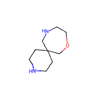 C1CC2(CCN1)CNCCOC2